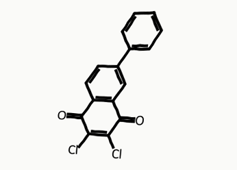 O=C1C(Cl)=C(Cl)C(=O)c2cc(-c3ccccc3)ccc21